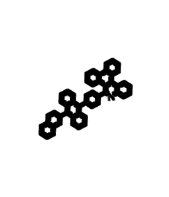 c1ccc2cc(-c3c4ccccc4c(-c4ccc(-c5nc6ccccc6c6c7ccccc7c7ccccc7c56)cc4)c4ccccc34)ccc2c1